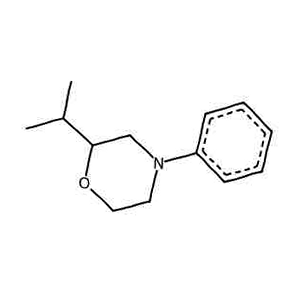 CC(C)C1CN(c2ccccc2)CCO1